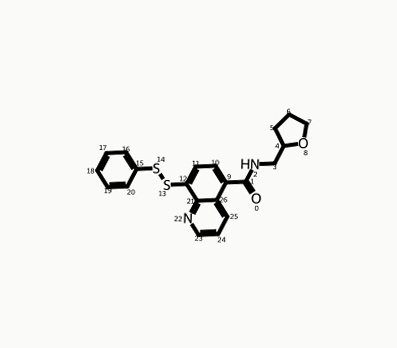 O=C(NCC1CCCO1)c1ccc(SSc2ccccc2)c2ncccc12